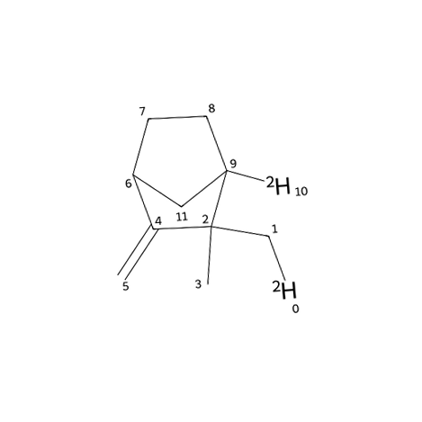 [2H]CC1(C)C(=C)C2CCC1([2H])C2